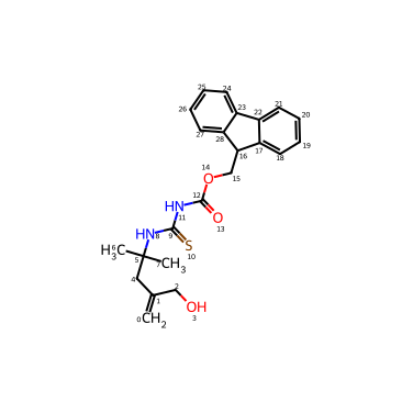 C=C(CO)CC(C)(C)NC(=S)NC(=O)OCC1c2ccccc2-c2ccccc21